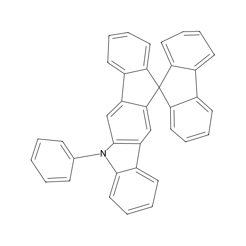 c1ccc(-n2c3ccccc3c3cc4c(cc32)-c2ccccc2C42c3ccccc3-c3ccccc32)cc1